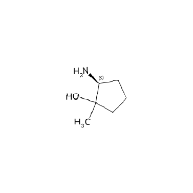 CC1(O)CCC[C@@H]1N